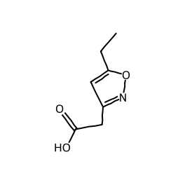 CCc1cc(CC(=O)O)no1